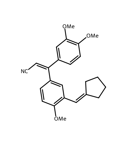 COc1ccc(/C(=C\C#N)c2ccc(OC)c(OC)c2)cc1C=C1CCCC1